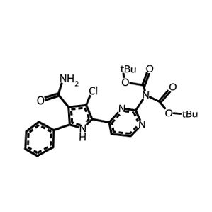 CC(C)(C)OC(=O)N(C(=O)OC(C)(C)C)c1nccc(-c2[nH]c(-c3ccccc3)c(C(N)=O)c2Cl)n1